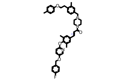 Cc1ccc(OCCc2ccc(CN3CCN(C(=O)/C=C/c4cc(C)c(Oc5ccc(OCc6ccc(F)cc6)cn5)c(C)c4)CC3)cc2C)cc1